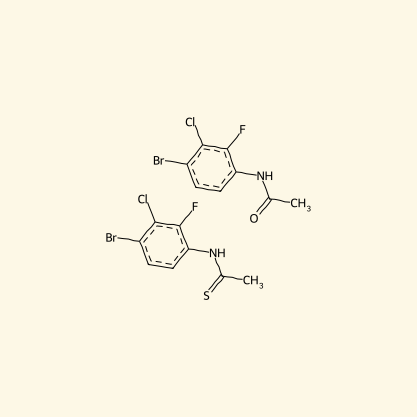 CC(=O)Nc1ccc(Br)c(Cl)c1F.CC(=S)Nc1ccc(Br)c(Cl)c1F